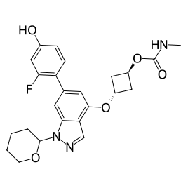 CNC(=O)O[C@H]1C[C@H](Oc2cc(-c3ccc(O)cc3F)cc3c2cnn3C2CCCCO2)C1